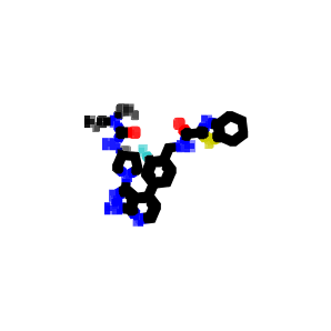 CN(C)C(=O)N[C@@H]1CCN(c2n[nH]c3nccc(-c4ccc(CNC(=O)c5nc6c(s5)CCCC6)c(F)c4)c23)C1